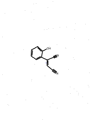 N#C/C=C(\C#N)c1ccccc1O